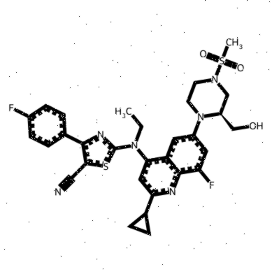 CCN(c1nc(-c2ccc(F)cc2)c(C#N)s1)c1cc(C2CC2)nc2c(F)cc(N3CCN(S(C)(=O)=O)C[C@H]3CO)cc12